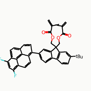 C=C(C)C(=O)OCC1(COC(=O)C(=C)C)c2cc(-c3ccc4ccc5c(F)cc(F)c6ccc3c4c56)ccc2-c2ccc(C(C)(C)C)cc21